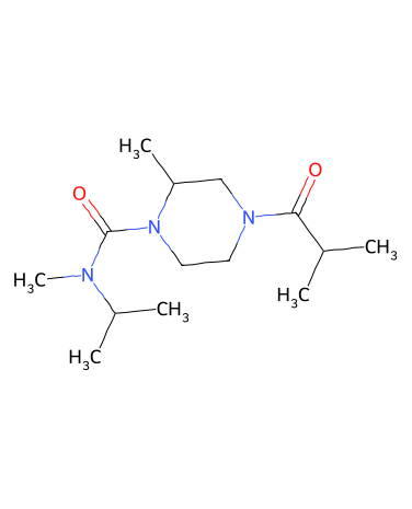 CC(C)C(=O)N1CCN(C(=O)N(C)C(C)C)C(C)C1